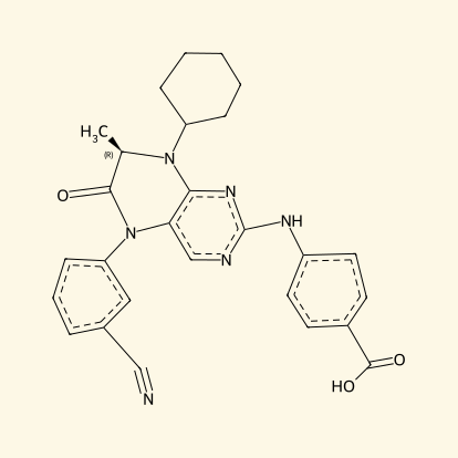 C[C@@H]1C(=O)N(c2cccc(C#N)c2)c2cnc(Nc3ccc(C(=O)O)cc3)nc2N1C1CCCCC1